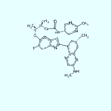 CNc1cnc2c(-c3nc4cc(F)c(O[C@@H](C)[C@@H](C)OC(=O)Nc5cnc(C)nc5)cc4s3)cc(C)cc2n1